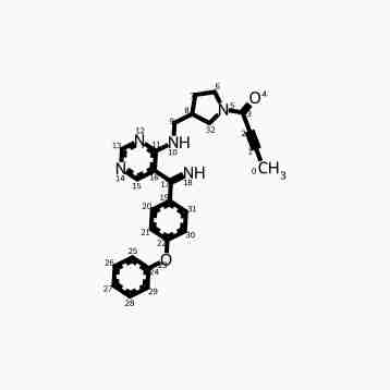 CC#CC(=O)N1CCC(CNc2ncncc2C(=N)c2ccc(Oc3ccccc3)cc2)C1